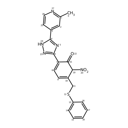 Cc1cc(-c2nc(C3=CC=C(CSc4ccccc4)C([N+](=O)[O-])C3=O)n[nH]2)ccn1